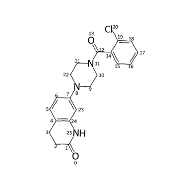 O=C1CCc2ccc(N3CCN(C(=O)c4ccccc4Cl)CC3)cc2N1